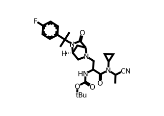 CC(C#N)N(C(=O)C(CN1C[C@@H]2CC1C(=O)N2C(C)(C)c1ccc(F)cc1)NC(=O)OC(C)(C)C)C1CC1